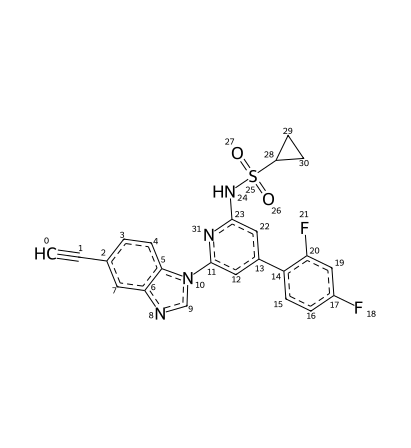 C#Cc1ccc2c(c1)ncn2-c1cc(-c2ccc(F)cc2F)cc(NS(=O)(=O)C2CC2)n1